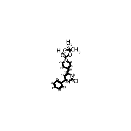 CC(C)(C)OC(=O)N1CC=C(c2cc(-c3ccccc3)nc(Cl)n2)CC1